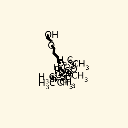 C[Si](C)(C)O[Si](C)(C)O[Si](C)(CCOCCCCOCCO)O[Si](C)(C)C